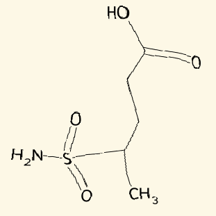 CC(CCC(=O)O)S(N)(=O)=O